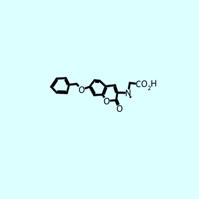 CN(CC(=O)O)c1cc2ccc(OCc3ccccc3)cc2oc1=O